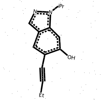 CCC#Cc1cc2cnn(C(C)C)c2cc1O